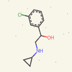 OC(CNC1CC1)c1cccc(Cl)c1